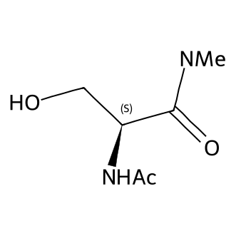 CNC(=O)[C@H](CO)NC(C)=O